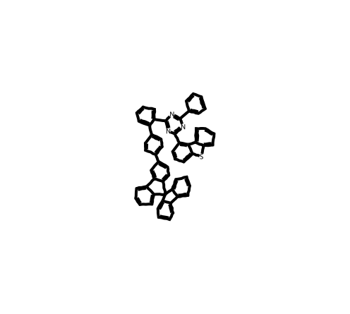 c1ccc(-c2nc(-c3ccccc3-c3ccc(-c4ccc5c(c4)-c4ccccc4C54c5ccccc5-c5ccccc54)cc3)nc(-c3cccc4sc5ccccc5c34)n2)cc1